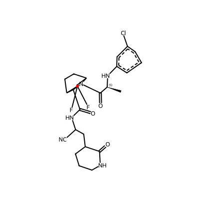 C[C@H](Nc1cccc(Cl)c1)C(=O)N1C2CCC(C1C(=O)NC(C#N)CC1CCCNC1=O)C(F)(F)C2